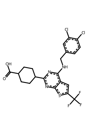 O=C(O)C1CCC(c2nc(NCc3ccc(Cl)c(Cl)c3)c3cc(C(F)(F)F)sc3n2)CC1